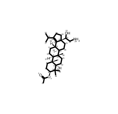 CC(=O)O[C@H]1CC[C@]2(C)[C@H]3CC[C@@H]4C5=C(C(C)C)CC[C@]5(C(O)CN)CC[C@@]4(C)[C@]3(C)CC[C@H]2C1(C)C